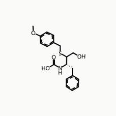 COc1ccc(CSC(CO)[C@H](Cc2ccccc2)NC(=O)O)cc1